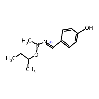 CCC(C)ON(C)/N=C/c1ccc(O)cc1